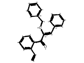 C=Cc1ccccc1C(=O)C(=Cc1ccccc1)OCc1ccccc1